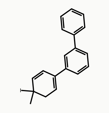 CC1(I)C=CC(c2cccc(-c3ccccc3)c2)=CC1